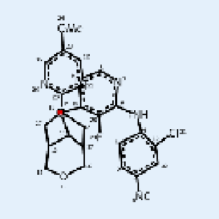 [C-]#[N+]c1ccc(Nc2ncnc(OC3C4COCC3CN(c3ncc(OC)cn3)C4)c2F)c(Cl)c1